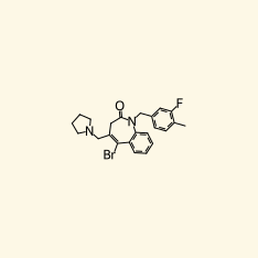 Cc1ccc(CN2C(=O)CC(CN3CCCC3)=C(Br)c3ccccc32)cc1F